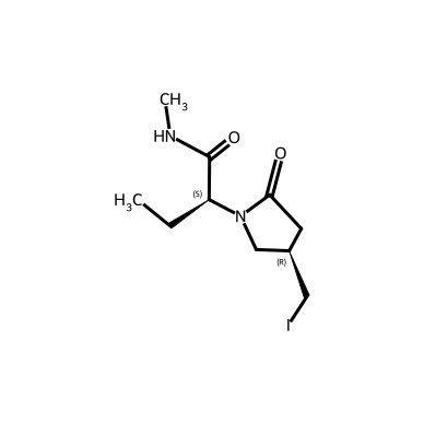 CC[C@@H](C(=O)NC)N1C[C@H](CI)CC1=O